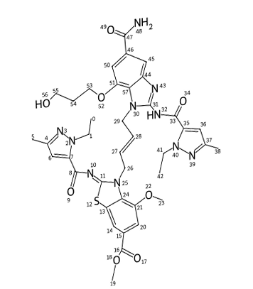 CCn1nc(C)cc1C(=O)/N=c1\sc2cc(C(=O)OC)cc(OC)c2n1C/C=C/Cn1c(NC(=O)c2cc(C)nn2CC)nc2cc(C(N)=O)cc(OCCCO)c21